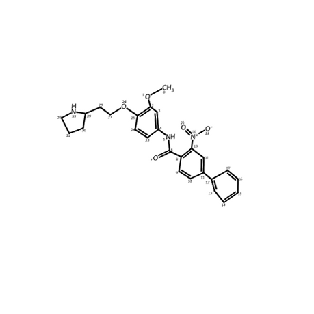 COc1cc(NC(=O)c2ccc(-c3ccccc3)cc2[N+](=O)[O-])ccc1OCCC1CCCN1